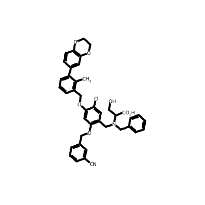 Cc1c(COc2cc(OCc3cccc(C#N)c3)c(CN(Cc3ccccc3)C(CO)C(=O)O)cc2Cl)cccc1-c1ccc2c(c1)OCCO2